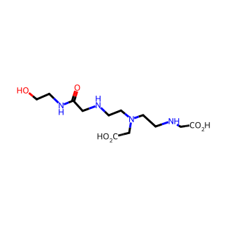 O=C(O)CNCCN(CCNCC(=O)NCCO)CC(=O)O